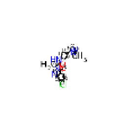 C=C(C(=O)Nc1ccc(-c2ccnn2C)cc1)n1cnc2cc(Cl)ccc2c1=O